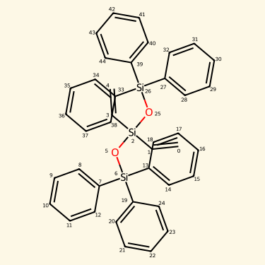 C=C[Si](C=C)(O[Si](c1ccccc1)(c1ccccc1)c1ccccc1)O[Si](c1ccccc1)(c1ccccc1)c1ccccc1